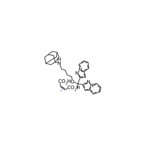 CC(OCCCCNC12CC3CC(CC(C3)C1)C2)(c1cc2ccccn2n1)c1cc2ccccn2n1.O=C(O)/C=C\C(=O)O